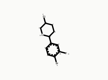 CCC1CCC(c2ccc(Br)c(F)c2)OC1